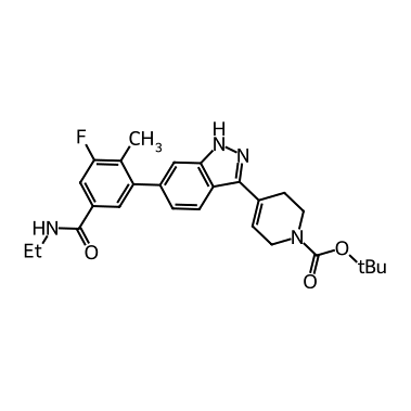 CCNC(=O)c1cc(F)c(C)c(-c2ccc3c(C4=CCN(C(=O)OC(C)(C)C)CC4)n[nH]c3c2)c1